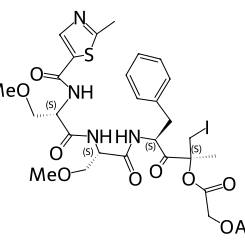 COC[C@H](NC(=O)c1cnc(C)s1)C(=O)N[C@@H](COC)C(=O)N[C@@H](Cc1ccccc1)C(=O)[C@@](C)(CI)OC(=O)COC(C)=O